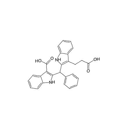 O=C(O)CCc1c(C(c2ccccc2)c2[nH]c3ccccc3c2C(=O)O)[nH]c2ccccc12